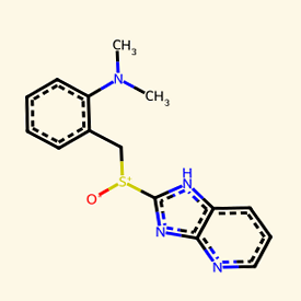 CN(C)c1ccccc1C[S+]([O-])c1nc2ncccc2[nH]1